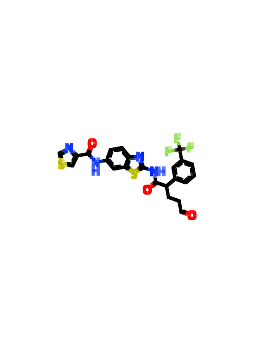 O=CCCC(C(=O)Nc1nc2ccc(NC(=O)c3cscn3)cc2s1)c1cccc(C(F)(F)F)c1